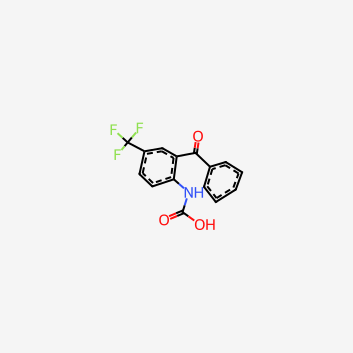 O=C(O)Nc1ccc(C(F)(F)F)cc1C(=O)c1ccccc1